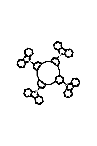 c1ccc2c(c1)c1ccccc1n2-c1cc2cc(c1)Cc1cc(cc(-n3c4ccccc4c4ccccc43)c1)Cc1cc(cc(-n3c4ccccc4c4ccccc43)c1)Cc1cc(cc(-n3c4ccccc4c4ccccc43)c1)C2